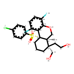 O=S(=O)(c1ccc(Cl)cc1)[C@@]12CCC[C@](CO)(CCO)[C@@H]1COc1c(F)ccc(F)c12